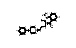 CC1N(CCCN2CCN(c3ccccc3)CC2)C(=O)c2ccccc2[SiH]1C